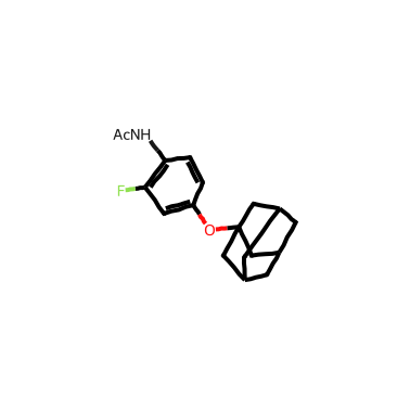 CC(=O)Nc1ccc(OC23CC4CC(CC(C4)C2)C3)cc1F